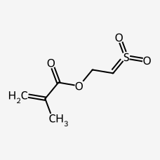 C=C(C)C(=O)OCC=S(=O)=O